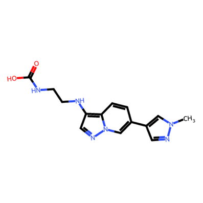 Cn1cc(-c2ccc3c(NCCNC(=O)O)cnn3c2)cn1